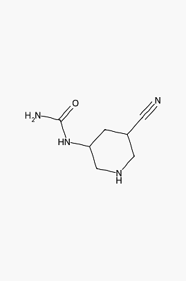 N#CC1CNCC(NC(N)=O)C1